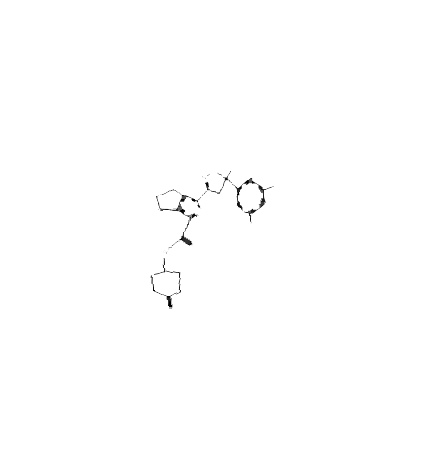 O=C1CCC(NC(=O)c2sc(C3=NOC(c4cc(Cl)cc(Cl)c4)(C(F)(F)F)C3)c3c2CCC3)CC1